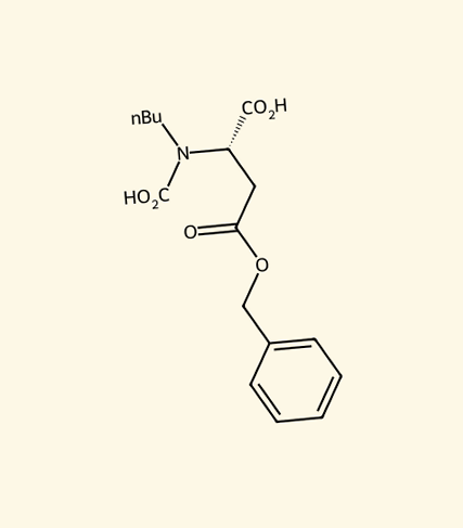 CCCCN(C(=O)O)[C@@H](CC(=O)OCc1ccccc1)C(=O)O